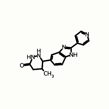 CC1CC(=O)NNC1c1ccc2[nH]c(-c3ccncc3)nc2c1